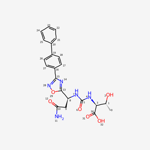 C[C@@H](O)[C@H](NC(=O)N[C@@H](CC(N)=O)c1nc(-c2ccc(-c3ccccc3)cc2)no1)C(=O)O